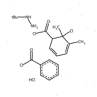 CC(C)(C)NN.CC1=CC=CC(C(=O)Cl)C1(C)Cl.Cl.O=C(Cl)c1ccccc1